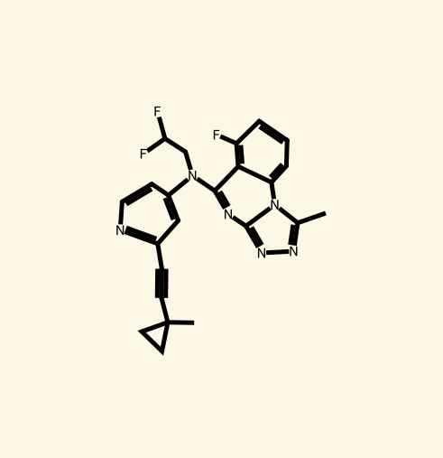 Cc1nnc2nc(N(CC(F)F)c3ccnc(C#CC4(C)CC4)c3)c3c(F)cccc3n12